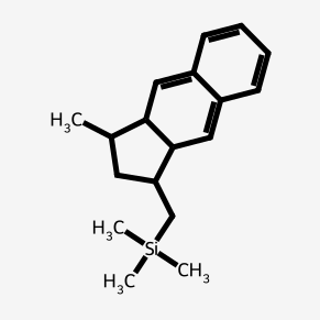 CC1CC(C[Si](C)(C)C)C2C=c3ccccc3=CC12